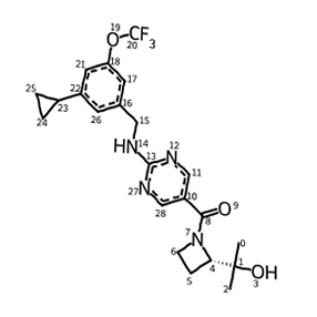 CC(C)(O)[C@@H]1CCN1C(=O)c1cnc(NCc2cc(OC(F)(F)F)cc(C3CC3)c2)nc1